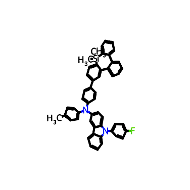 Cc1ccc(N(c2ccc(-c3ccc4c(c3)-c3ccccc3-c3ccccc3[Si]4(C)C)cc2)c2ccc3c(c2)c2ccccc2n3-c2ccc(F)cc2)cc1